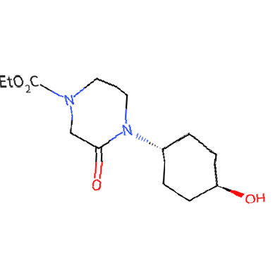 CCOC(=O)N1CCN([C@H]2CC[C@H](O)CC2)C(=O)C1